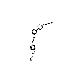 CCCCCC1CCC(c2cccc(C=CC=Cc3ccc(OCCCC)cc3)c2)CC1